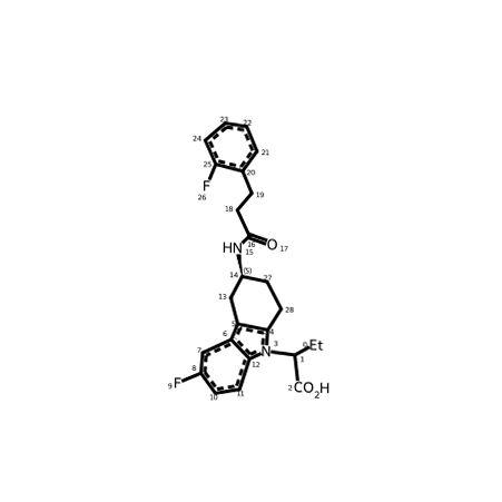 CCC(C(=O)O)n1c2c(c3cc(F)ccc31)C[C@@H](NC(=O)CCc1ccccc1F)CC2